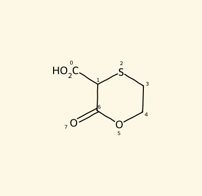 O=C(O)C1SCCOC1=O